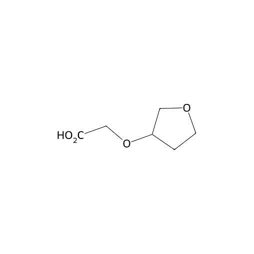 O=C(O)COC1CCOC1